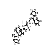 O=C(c1cccs1)c1cnn2c(-c3cccc(NCC=C(c4ccccc4)c4ccccc4)c3)ccnc12